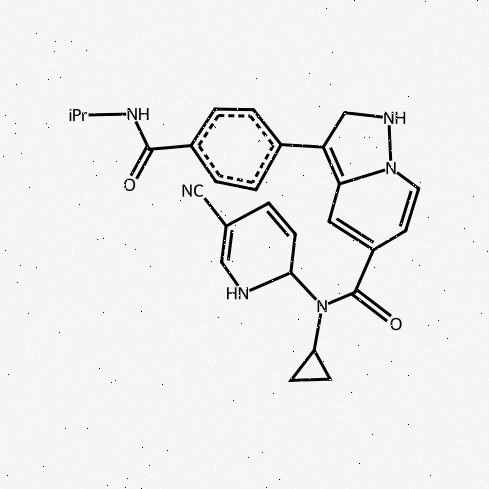 CC(C)NC(=O)c1ccc(C2=C3C=C(C(=O)N(C4CC4)C4C=CC(C#N)=CN4)C=CN3NC2)cc1